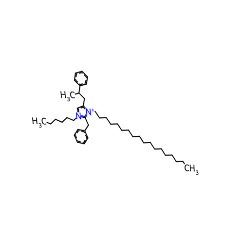 CCCCCCCCCCCCCCCCCC[n+]1c(CC(C)c2ccccc2)cn(CCCCCC)c1Cc1ccccc1